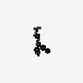 Cc1nc2cc(-c3nc(COc4ccc(OCC(=O)O)c(C)c4)sc3-c3ccc(-c4ccccc4)cc3)ccc2o1